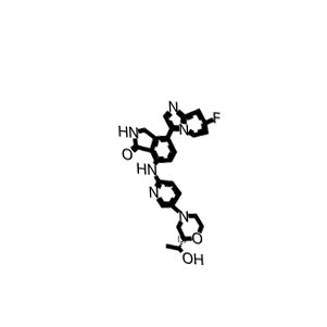 CC(O)[C@@H]1CN(c2ccc(Nc3ccc(-c4cnc5cc(F)ccn45)c4c3C(=O)NC4)nc2)CCO1